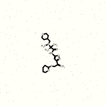 C=C(COC1CCCCO1)c1cc(NC(=O)C(C)(C)N(C)CC2CCOCC2)on1